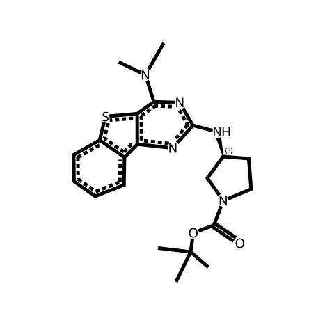 CN(C)c1nc(N[C@H]2CCN(C(=O)OC(C)(C)C)C2)nc2c1sc1ccccc12